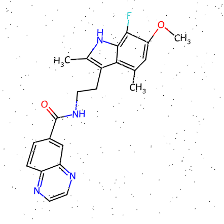 COc1cc(C)c2c(CCNC(=O)c3ccc4nccnc4c3)c(C)[nH]c2c1F